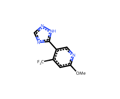 COc1cc(C(F)(F)F)c(-c2ncn[nH]2)cn1